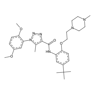 COc1ccc(OC)c(-n2nnc(C(=O)Nc3cc(C(C)(C)C)ccc3OCCN3CCN(C)CC3)c2C)c1